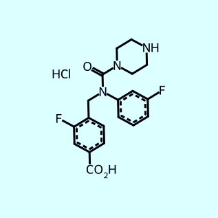 Cl.O=C(O)c1ccc(CN(C(=O)N2CCNCC2)c2cccc(F)c2)c(F)c1